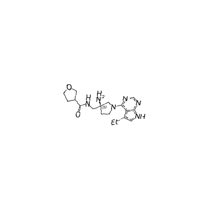 CCc1c[nH]c2ncnc(N3CC[C@](N)(CNC(=O)C4CCOC4)C3)c12